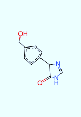 O=C1NC=NC1c1ccc(CO)cc1